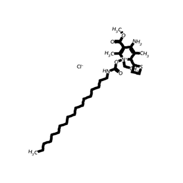 CCCCCCCCCCCCCCCCCCNC(=O)O[N+]1(CC)C(C)=C(C(=O)OC)C(N)=C(C)C1C1CCS1.[Cl-]